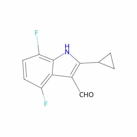 O=Cc1c(C2CC2)[nH]c2c(F)ccc(F)c12